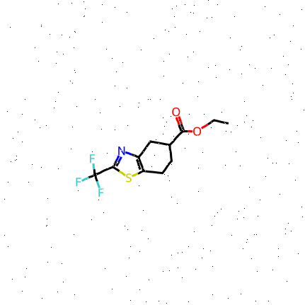 CCOC(=O)C1CCc2sc(C(F)(F)F)nc2C1